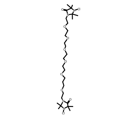 CC1(C)C(=O)N(CCOCCCOCCOCCOCCOCCOCCN2C(=O)C(C)(C)N(Cl)C2(C)C)C(C)(C)N1Cl